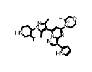 Cc1nn(C2CCNCC2F)c(C)c1-c1cc(N2CCOC[C@H]2C)nc2c(-c3ccc[nH]3)cnn12